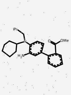 COC(=O)c1ccccc1-c1ccc(N(CC(C)C)C2CCCCC2)c(N)c1